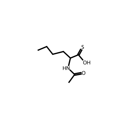 CCCCC(NC(C)=O)C(O)=S